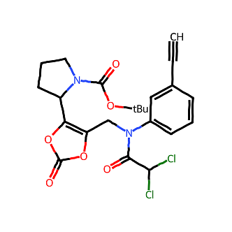 C#Cc1cccc(N(Cc2oc(=O)oc2C2CCCN2C(=O)OC(C)(C)C)C(=O)C(Cl)Cl)c1